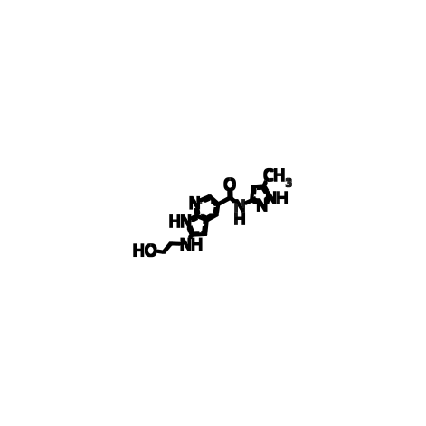 Cc1cc(NC(=O)c2cnc3[nH]c(NCCO)cc3c2)n[nH]1